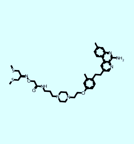 CSCC(CSC)=NOCC(=O)NCCCN1CCN(CCOc2ccc(CCc3cnc4c(N)nc5cc(C)ccc5c4c3)c(C)c2)CC1